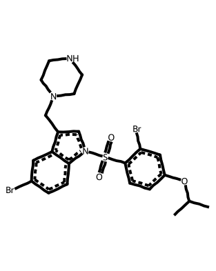 CC(C)Oc1ccc(S(=O)(=O)n2cc(CN3CCNCC3)c3cc(Br)ccc32)c(Br)c1